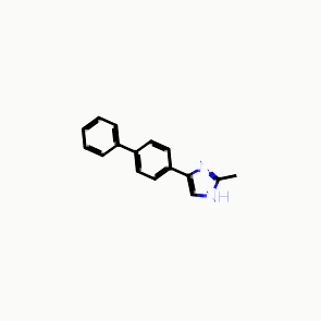 Cc1nc(-c2ccc(-c3ccccc3)cc2)c[nH]1